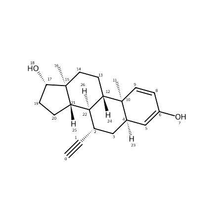 C#C[C@H]1C[C@@H]2C=C(O)C=C[C@]2(C)[C@H]2CC[C@]3(C)[C@@H](O)CC[C@H]3[C@H]12